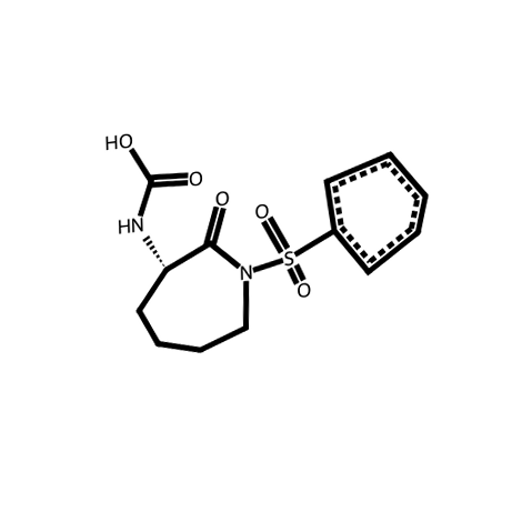 O=C(O)N[C@H]1CCCCN(S(=O)(=O)c2ccccc2)C1=O